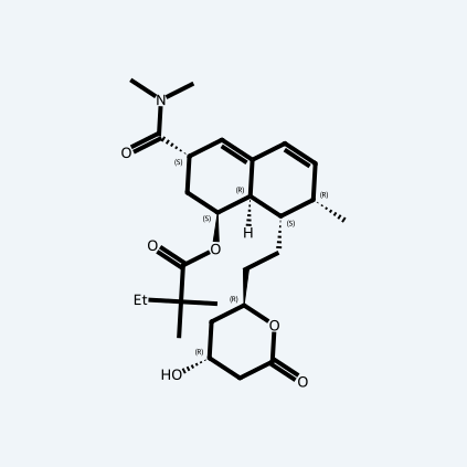 CCC(C)(C)C(=O)O[C@H]1C[C@H](C(=O)N(C)C)C=C2C=C[C@H](C)[C@H](CC[C@@H]3C[C@@H](O)CC(=O)O3)[C@H]21